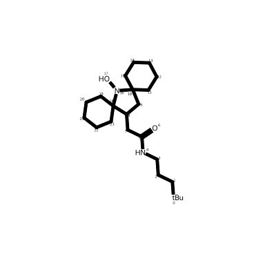 CC(C)(C)CCCNC(=O)CC1CC2(CCCCC2)N(O)C12CCCCC2